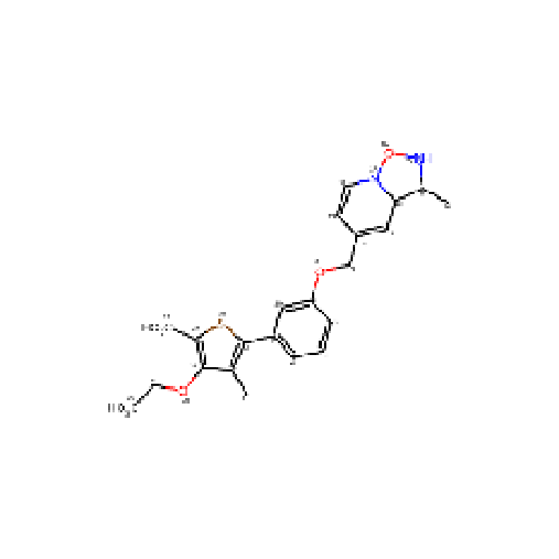 Cc1c(-c2cccc(OCC3=CC4C(C)NON4C=C3)c2)sc(C(=O)O)c1OCC(=O)O